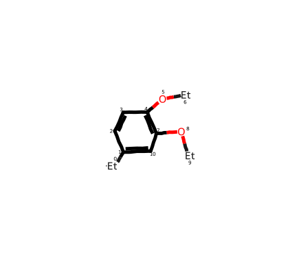 C[CH]c1ccc(OCC)c(OCC)c1